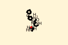 NC(=O)c1c2c(nn1-c1ccc(Oc3ccccc3)cc1)C(N1C[C@@H]3C[C@H]1CN3)CCN2